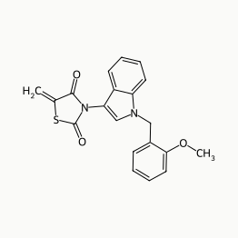 C=C1SC(=O)N(c2cn(Cc3ccccc3OC)c3ccccc23)C1=O